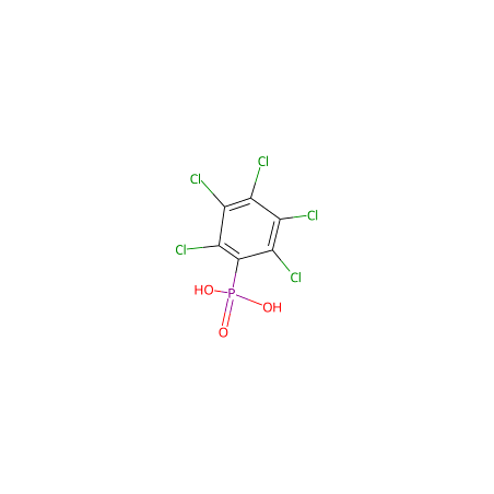 O=P(O)(O)c1c(Cl)c(Cl)c(Cl)c(Cl)c1Cl